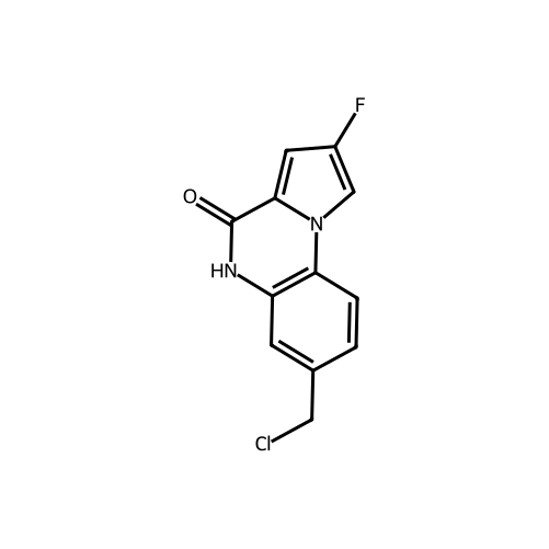 O=c1[nH]c2cc(CCl)ccc2n2cc(F)cc12